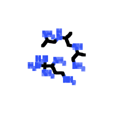 CC(N)CNC(C)CNC(C)CN.NCCC(N)C(N)(N)N